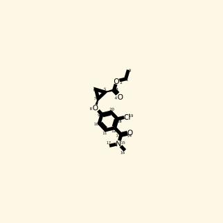 CCOC(=O)[C@@H]1C[C@@H]1Oc1ccc(C(=O)N(C)C)c(Cl)c1